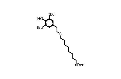 CCCCCCCCCCCCCCCCCCOCCc1cc(C(C)(C)C)c(O)c(C(C)(C)C)c1